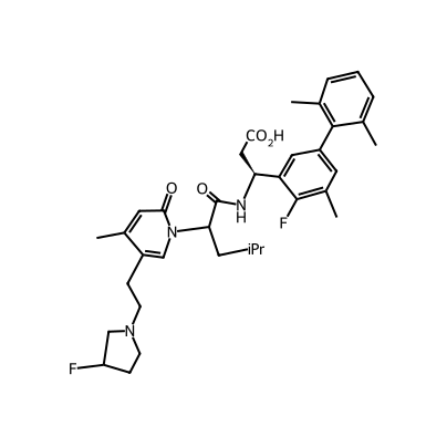 Cc1cc(=O)n(C(CC(C)C)C(=O)N[C@@H](CC(=O)O)c2cc(-c3c(C)cccc3C)cc(C)c2F)cc1CCN1CCC(F)C1